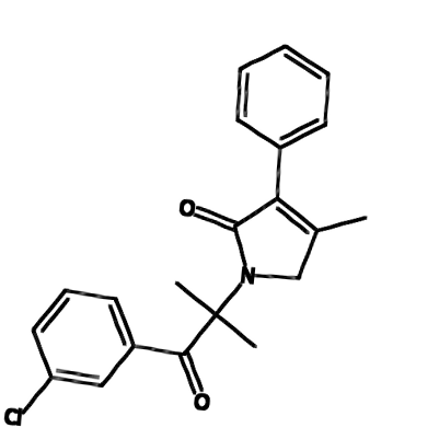 CC1=C(c2ccccc2)C(=O)N(C(C)(C)C(=O)c2cccc(Cl)c2)C1